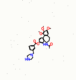 COc1cc2c(c(OC)c1OC)-c1ccc(OC(=O)c3cccc(CN4CCNCC4)c3)cc1[C@@H](NC(C)=O)CC2